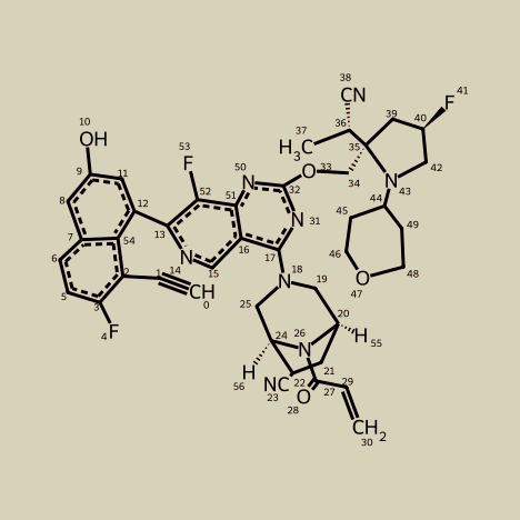 C#Cc1c(F)ccc2cc(O)cc(-c3ncc4c(N5C[C@H]6CC(C#N)[C@@H](C5)N6C(=O)C=C)nc(OC[C@]5([C@H](C)C#N)C[C@@H](F)CN5C5CCOCC5)nc4c3F)c12